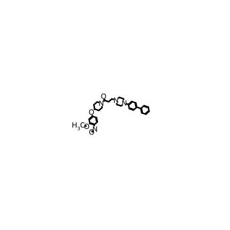 COc1cc(OC2CCN(C(=O)CCN3CCN(c4ccc(-c5ccccc5)cc4)CC3)CC2)ccc1N=O